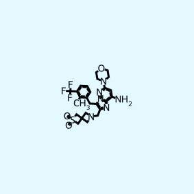 Cc1c(Cc2c(CN3CC4(C3)CS(=O)(=O)C4)nc3c(N)cc(N4CCOCC4)nn23)cccc1C(F)(F)F